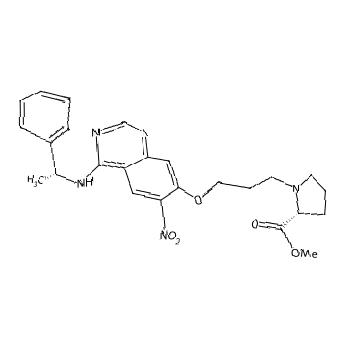 COC(=O)[C@H]1CCCN1CCCOc1cc2ncnc(N[C@H](C)c3ccccc3)c2cc1[N+](=O)[O-]